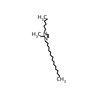 CCCCCCCCCCCCCCCCC[n+]1ccn(CCCCCCC)c1CC